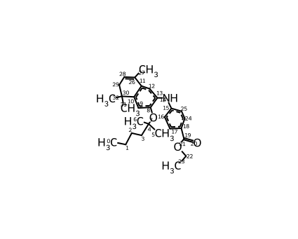 CCCCC(C)(C)Oc1cc2c(cc1Nc1ccc(C(=O)OCC)cc1)C(C)=CCC2(C)C